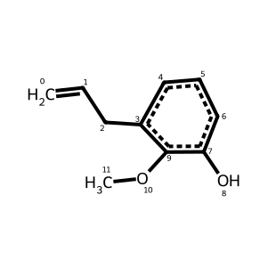 C=CCc1cccc(O)c1OC